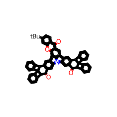 CC(C)(C)c1ccc2c(=O)c3cc4c5cc6c(cc5n5c7cc8c(cc7c(c3oc2c1)c45)C1c2ccccc2C12c1ccccc1C2C8=O)C(=O)C1c2ccccc2C12c1ccccc1C62